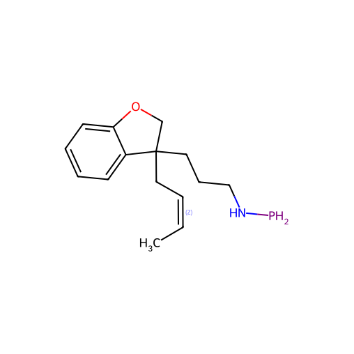 C/C=C\CC1(CCCNP)COc2ccccc21